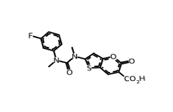 CN(C(=O)N(C)c1cc2oc(=O)c(C(=O)O)cc2s1)c1cccc(F)c1